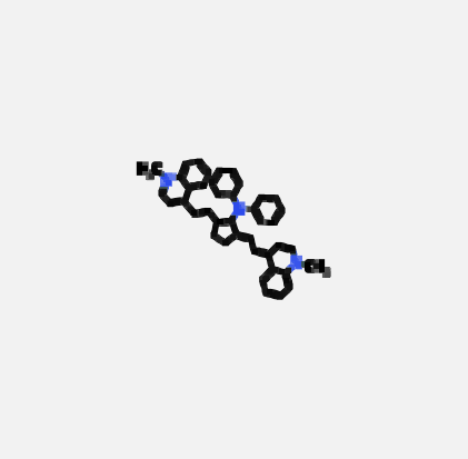 CN1C=CC(=CC=C2CCC(C=Cc3cc[n+](C)c4ccccc34)=C2N(c2ccccc2)c2ccccc2)c2ccccc21